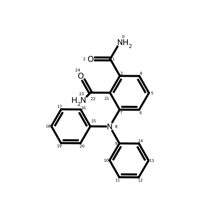 NC(=O)c1cccc(N(c2ccccc2)c2ccccc2)c1C(N)=O